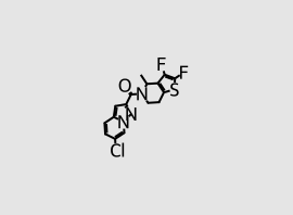 CC1c2c(sc(F)c2F)CCN1C(=O)c1cc2ccc(Cl)cn2n1